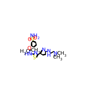 CN(C)CCNc1ccc(-c2csc(NC(C)(C)Oc3cccc(S(N)(=O)=O)c3)n2)cn1